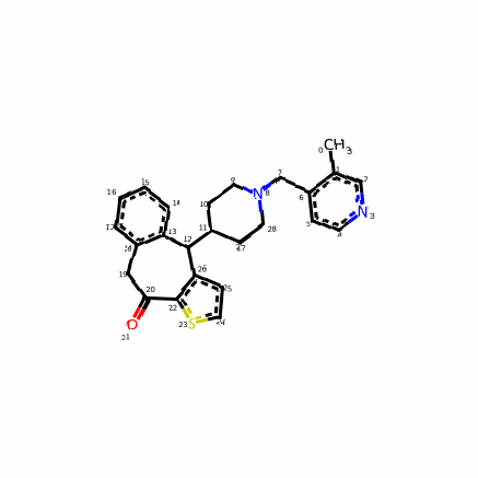 Cc1cnccc1CN1CCC(C2c3ccccc3CC(=O)c3sccc32)CC1